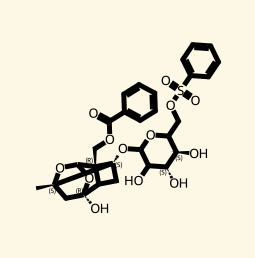 C[C@@]12C[C@@]3(O)OC(O1)[C@@]1(COC(=O)c4ccccc4)C3C[C@]12OC1OC(COS(=O)(=O)c2ccccc2)[C@@H](O)[C@H](O)C1O